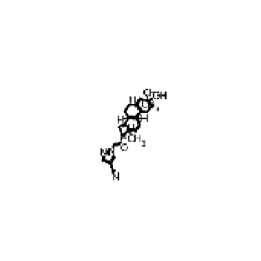 C[C@@]1(O)CC[C@@]2(C)[C@H](CC[C@@H]3[C@@H]2CC[C@]2(C)[C@@H](C(=O)Cn4cc(C#N)cn4)C[C@@H]32)C1